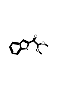 COC(OC)C(=O)c1cc2ccccc2s1